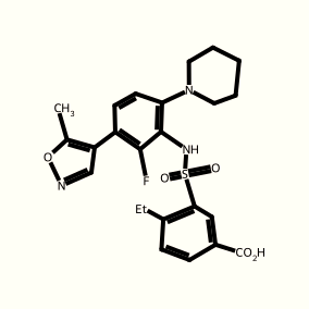 CCc1ccc(C(=O)O)cc1S(=O)(=O)Nc1c(N2CCCCC2)ccc(-c2cnoc2C)c1F